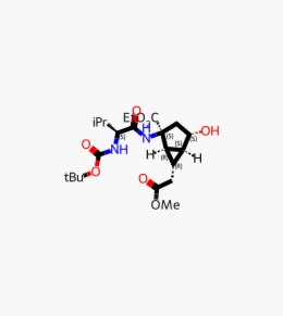 CCOC(=O)[C@]1(NC(=O)[C@@H](NC(=O)OC(C)(C)C)C(C)C)C[C@H](O)[C@H]2[C@H](CC(=O)OC)[C@H]21